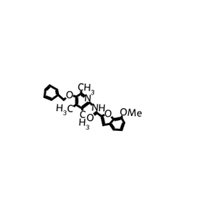 COc1cccc2cc(C(=O)Nc3nc(C)c(OCc4ccccc4)c(C)c3C)oc12